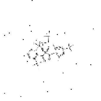 Cc1cc(C(C)(C)C)cc(C)c1C(=O)P(=O)(CC(C)CC(C)(C)C)C(=O)c1c(C(F)(F)F)cccc1C(F)(F)F